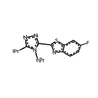 CCCn1c(-c2nc3ccc(F)cc3s2)nnc1C(C)C